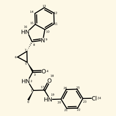 C[C@@H](NC(=O)[C@H]1C[C@@H]1c1nc2ccccc2[nH]1)C(=O)Nc1ccc(Cl)cc1